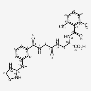 O=C(CNC(=O)c1cccc(NC2NCCN2)c1)NC[C@H](NC(=O)c1c(Cl)cccc1Cl)C(=O)O